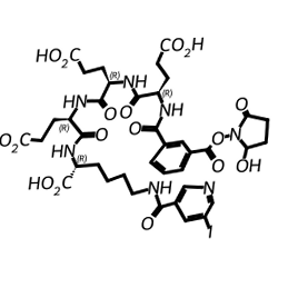 O=C(O)CC[C@@H](NC(=O)c1cccc(C(=O)ON2C(=O)CCC2O)c1)C(=O)N[C@H](CCC(=O)O)C(=O)N[C@H](CCC(=O)O)C(=O)N[C@H](CCCCNC(=O)c1cncc(I)c1)C(=O)O